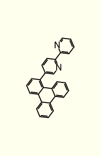 c1ccc(-c2ccc(-c3cccc4c5ccccc5c5ccccc5c34)cn2)nc1